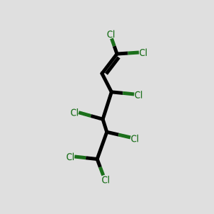 ClC(Cl)=CC(Cl)C(Cl)C(Cl)C(Cl)Cl